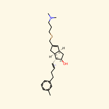 Cc1cccc(CC/C=C/[C@@H]2[C@H]3CC(CSCCCN(C)C)=C[C@H]3C[C@H]2O)c1